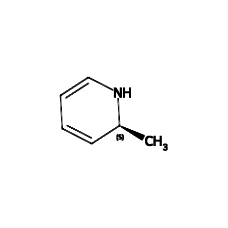 C[C@H]1C=CC=CN1